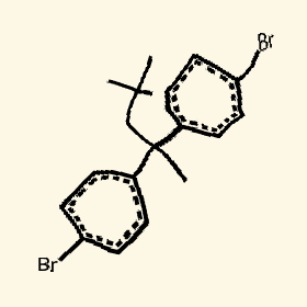 CC(C)(C)CC(C)(c1ccc(Br)cc1)c1ccc(Br)cc1